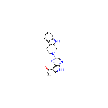 CC(C)(C)C(=O)c1c[nH]c2ncc(N3CCc4c([nH]c5ccccc45)C3)nc12